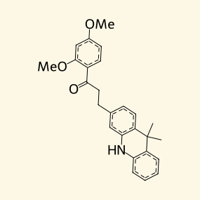 COc1ccc(C(=O)CCc2ccc3c(c2)Nc2ccccc2C3(C)C)c(OC)c1